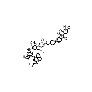 COc1cc(N2CCN(CCC3CCN(c4ccc5c(c4)C(=O)N(C4CCC(=O)NC4=O)C5=O)CC3)[C@H](C)C2)c(C)cc1Nc1nc(Nc2cccc3c2N(S(C)(=O)=O)CC3)c2cc[nH]c2n1